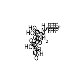 CO[C@H]1[C@@H](O)[C@H](n2ccc(=O)[nH]c2=O)O[C@@H]1[C@@H](O[C@H]1OC(C(=O)NCCC(F)(F)C(F)(F)C(F)(F)C(F)(F)F)=C[C@H](O)[C@@H]1O)C(N)=O